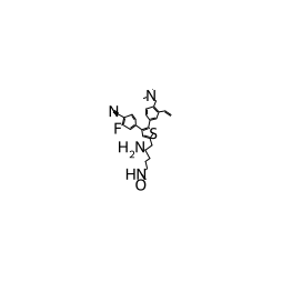 C=Cc1cc(-c2sc(CC(N)CCCNC=O)cc2-c2ccc(C#N)c(F)c2)ccc1CN(C)C